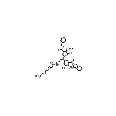 COc1c(Cl)cc(C(=CCCNC(=O)COCCOCC(=O)O)c2cc(Cl)c(OC)c(C(=O)OCc3ccccc3)c2)cc1C(=O)OCc1ccccc1